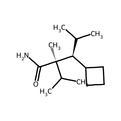 CC(C)[C@@H](C1CCC1)[C@](C)(C(N)=O)C(C)C